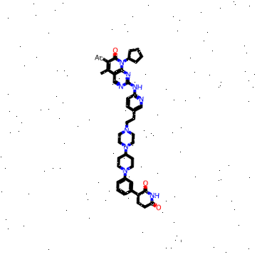 CC(=O)c1c(C)c2cnc(Nc3ccc(CCN4CCN(C5CCN(c6cccc(C7CCC(=O)NC7=O)c6)CC5)CC4)cn3)nc2n(C2CCCC2)c1=O